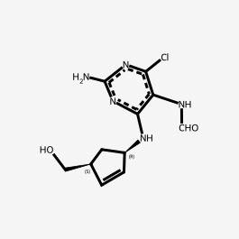 Nc1nc(Cl)c(NC=O)c(N[C@H]2C=C[C@@H](CO)C2)n1